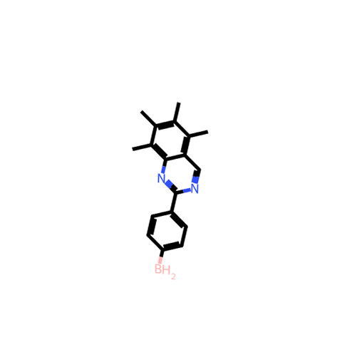 Bc1ccc(-c2ncc3c(C)c(C)c(C)c(C)c3n2)cc1